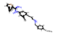 COc1ccc(CNCCc2ccc(NC(=N)c3cccs3)cc2)cc1